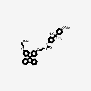 COCCOc1ccc(C2(c3ccc(OCCOC(=O)Oc4ccc(C(C)(C)c5ccc(OC)cc5)cc4)cc3)c3ccccc3-c3ccccc32)cc1